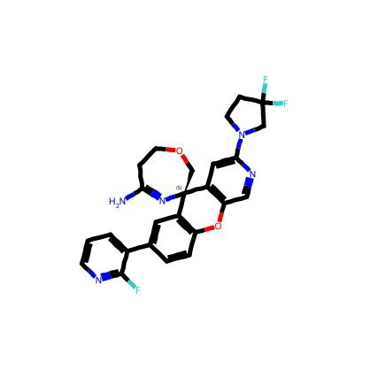 NC1=N[C@@]2(COCC1)c1cc(-c3cccnc3F)ccc1Oc1cnc(N3CCC(F)(F)C3)cc12